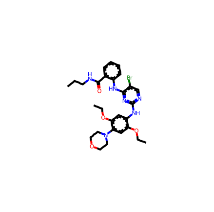 CCCNC(=O)c1ccccc1Nc1nc(Nc2cc(OCC)c(N3CCOCC3)cc2OCC)ncc1Br